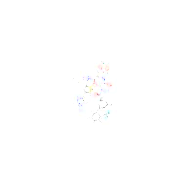 CC(NC(=O)[C@@H]1CC2(CN1C(=O)CNC(=O)c1ccc3c(c1)-c1ccccc1C3(F)F)OCCO2)c1cc(-c2c[nH]cn2)cs1